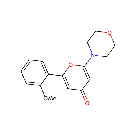 COc1ccccc1-c1cc(=O)cc(N2CCOCC2)o1